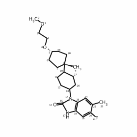 COCCO[C@H]1CC[C@@](C)(C2CCC(n3c(=O)[nH]c4cc(F)c(C)cc43)CC2)CC1